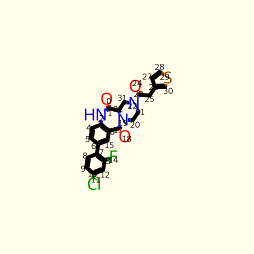 O=C1Nc2ccc(-c3ccc(Cl)cc3F)cc2C(=O)N2CCN(C(=O)Cc3ccsc3)CC12